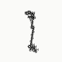 O=C1CCC(N2C(=O)c3cccc(NCCOCCOCCOCCOCCN4CCN(CCOCC(F)CNC(=O)c5cnc(Nc6ccc7cnccc7n6)cc5NC5CC5)CC4)c3C2O)C(=O)N1